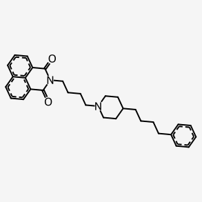 O=C1c2cccc3cccc(c23)C(=O)N1CCCCN1CCC(CCCCc2ccccc2)CC1